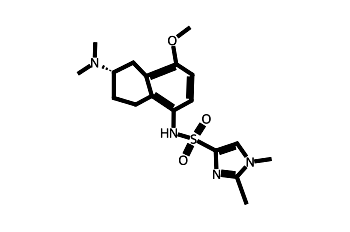 COc1ccc(NS(=O)(=O)c2cn(C)c(C)n2)c2c1C[C@@H](N(C)C)CC2